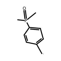 [CH2]c1ccc(P(C)(C)=O)cc1